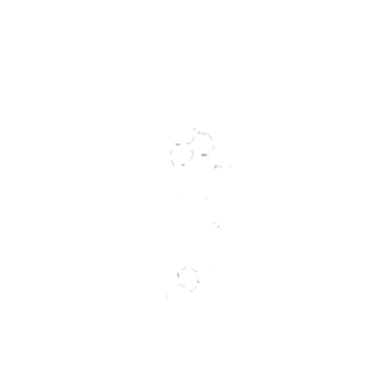 COc1ccc2ncc(CO)c([C@H](O)CCC3(CO)CCN(CCSc4c(F)cc(F)cc4F)CC3)c2c1